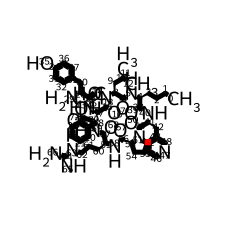 CCCC[C@H](NC(=O)[C@H](CC(C)C)N(C)C(=O)[C@H](Cc1ccccc1)NC(=O)[C@@H](N)Cc1ccc(O)cc1)C(=O)N[C@@H](Cc1cccnc1)C(=O)N1CCC[C@H]1C(=O)N[C@@H](CCCNC(=N)N)C(=O)NCC(=O)O